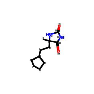 CC1(CCC2CCCC2)NC(=O)NC1=O